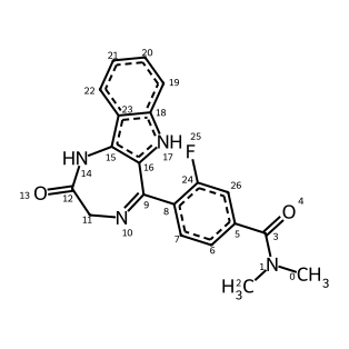 CN(C)C(=O)c1ccc(C2=NCC(=O)Nc3c2[nH]c2ccccc32)c(F)c1